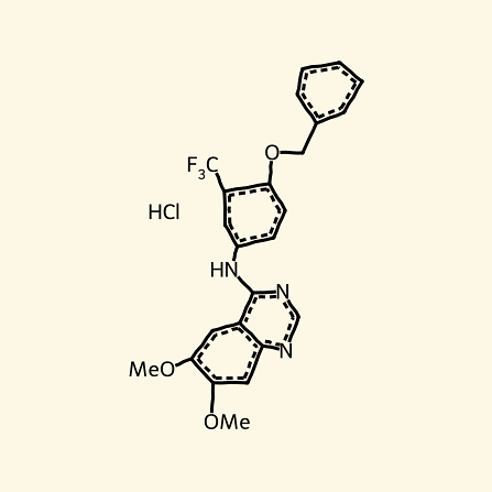 COc1cc2ncnc(Nc3ccc(OCc4ccccc4)c(C(F)(F)F)c3)c2cc1OC.Cl